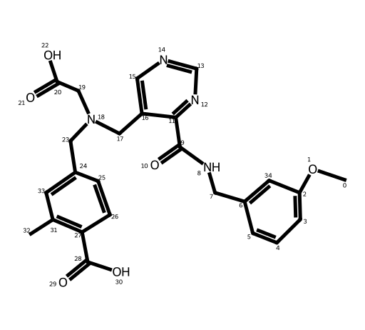 COc1cccc(CNC(=O)c2ncncc2CN(CC(=O)O)Cc2ccc(C(=O)O)c(C)c2)c1